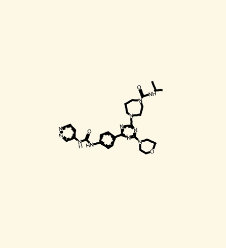 CC(C)NC(=O)N1CCCN(c2nc(-c3ccc(NC(=O)Nc4ccnnc4)cc3)nc(N3CCOCC3)n2)CC1